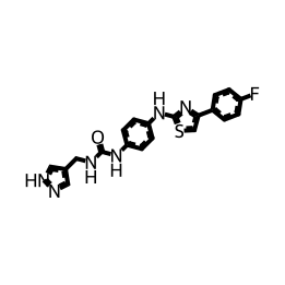 O=C(NCc1cn[nH]c1)Nc1ccc(Nc2nc(-c3ccc(F)cc3)cs2)cc1